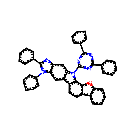 c1ccc(-c2nc(-c3ccccc3)nc(-n3c4cc5nc(-c6ccccc6)n(-c6ccccc6)c5cc4c4ccc5c6ccccc6oc5c43)n2)cc1